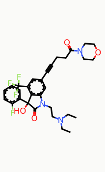 CCN(CC)CCN1C(=O)C(O)(c2ccccc2F)c2c1cc(C#CCCC(=O)N1CCOCC1)cc2C(F)(F)F